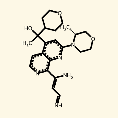 C[C@@H]1COCCN1c1cc(C(C)(O)C2CCOCC2)c2ccnc(/C(N)=C/C=N)c2n1